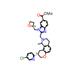 COC(=O)c1ccc2nc(CN3CCc4ccc5c(c4C3C)C[C@@H](c3ccc(Cl)cn3)CO5)n(C[C@@H]3CCO3)c2c1